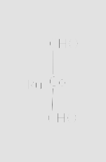 O=[CH][Co][CH]=O.[Ru]